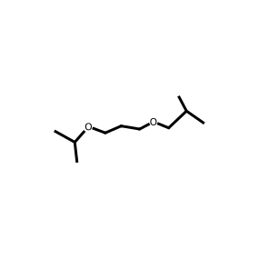 CC(C)COCCCOC(C)C